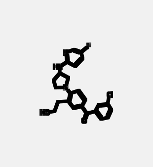 O=C(c1cccc(Cl)c1)c1ccc(N2CCC(Nc3ccc(F)cn3)C2)c(CCO)c1